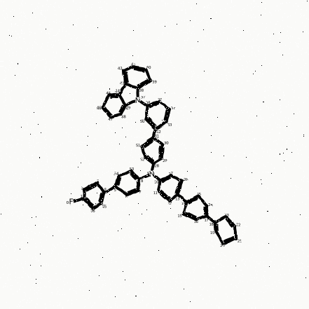 Fc1ccc(-c2ccc(N(c3ccc(-c4ccc(-c5ccccc5)cc4)cc3)c3ccc(-c4cccc(-n5c6ccccc6c6ccccc65)c4)cc3)cc2)cc1